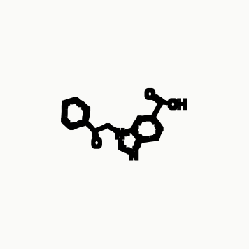 O=C(O)c1ccc2ncn(CC(=O)c3ccccc3)c2c1